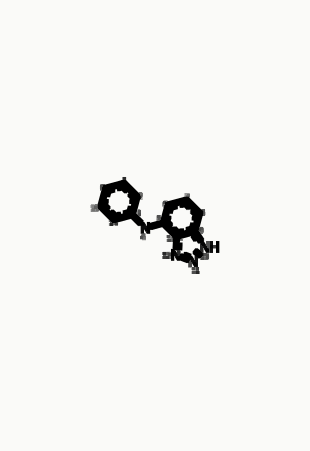 c1ccc([N]c2cccc3[nH]nnc23)cc1